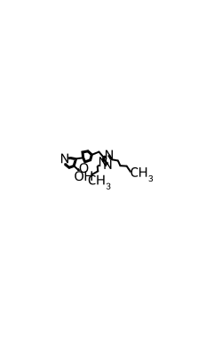 CCCCCc1nc(Cc2ccc(-c3cnccc3C(=O)O)cc2)n(CCCC)n1